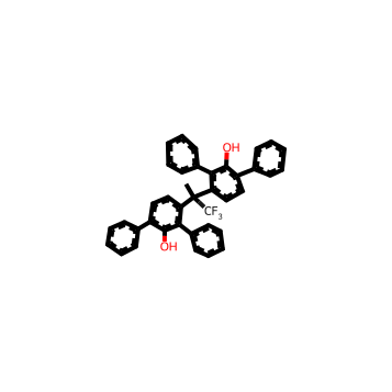 CC(c1ccc(-c2ccccc2)c(O)c1-c1ccccc1)(c1ccc(-c2ccccc2)c(O)c1-c1ccccc1)C(F)(F)F